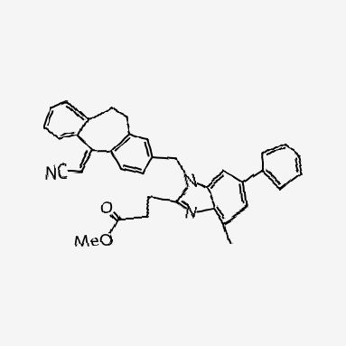 COC(=O)CCc1nc2c(C)cc(-c3ccccc3)cc2n1Cc1ccc2c(c1)CCc1ccccc1C2=CC#N